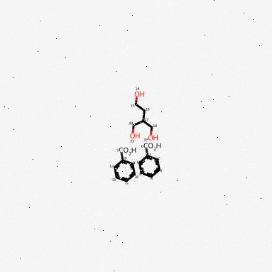 O=C(O)c1ccccc1.O=C(O)c1ccccc1.OCCC(CO)CO